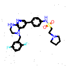 O=S(=O)(CCN1CCCC1)Nc1ccc(-c2cnc3c(c2)N(Cc2cc(F)ccc2F)CCN3)cc1